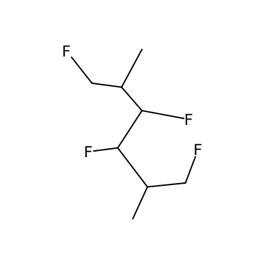 CC(CF)C(F)C(F)C(C)CF